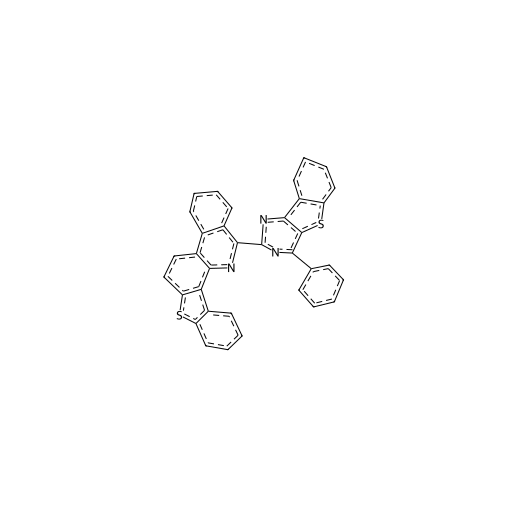 c1ccc(-c2nc(-c3nc4c(ccc5sc6ccccc6c54)c4ccccc34)nc3c2sc2ccccc23)cc1